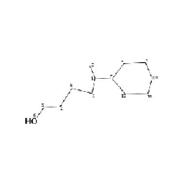 CC(CCCCO)C1CCCCC1